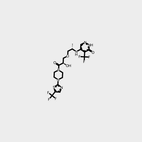 C[C@@H](COC[C@@H](O)C(=O)N1CCN(c2ncc(C(F)(F)F)s2)CC1)Nc1cn[nH]c(=O)c1C(F)(F)F